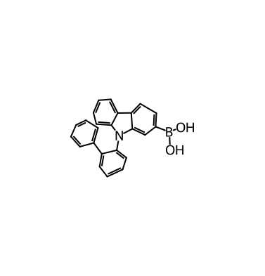 OB(O)c1ccc2c3ccccc3n(-c3ccccc3-c3ccccc3)c2c1